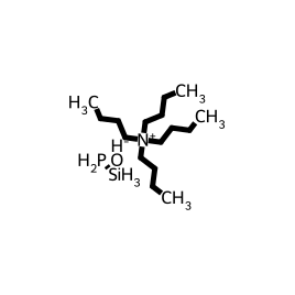 CCCC[N+](CCCC)(CCCC)CCCC.[OH-].[SiH3]P